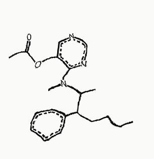 CCCCC(c1ccccc1)C(C)N(C)c1ncncc1OC(C)=O